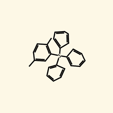 Cc1ccc(C)c(S(c2ccccc2)(c2ccccc2)c2ccccc2)c1